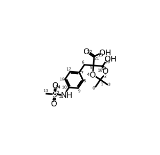 CC(C)(C)OC(Cc1ccc(NS(C)(=O)=O)cc1)(C(=O)O)C(=O)O